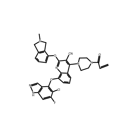 C=CC(=O)N1CCN(c2c(C#N)c(Oc3cccc4c3CN(C)C4)nc3c(Oc4c(Cl)c(F)cc5[nH]ncc45)cccc23)CC1